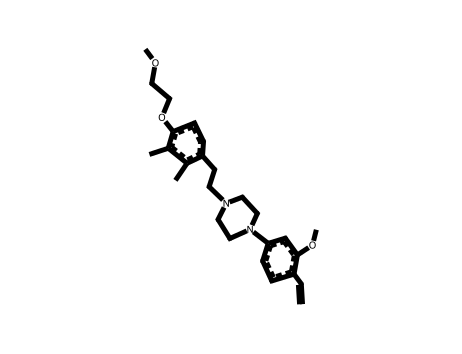 C=Cc1ccc(N2CCN(CCc3ccc(OCCOC)c(C)c3C)CC2)cc1OC